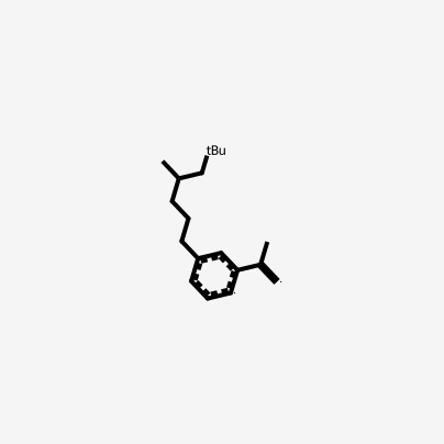 [CH]=C(C)c1[c]ccc(CCCC(C)CC(C)(C)C)c1